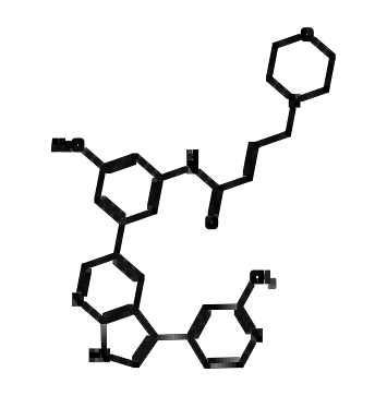 COc1cc(NC(=O)/C=C/CN2CCOCC2)cc(-c2cnc3[nH]cc(-c4ccnc(C)c4)c3c2)c1